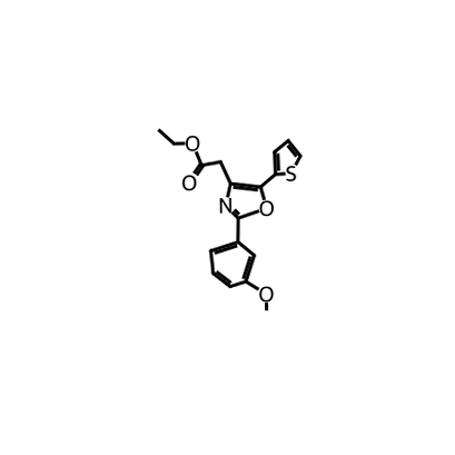 CCOC(=O)Cc1nc(-c2cccc(OC)c2)oc1-c1cccs1